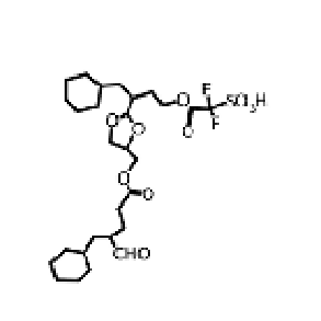 O=CC(CCC(=O)OCC1COC(C(CCOC(=O)C(F)(F)S(=O)(=O)O)CC2CCCCC2)O1)CC1CCCCC1